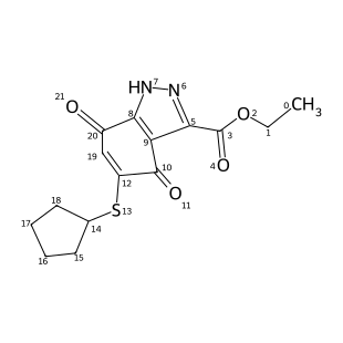 CCOC(=O)c1n[nH]c2c1C(=O)C(SC1CCCC1)=CC2=O